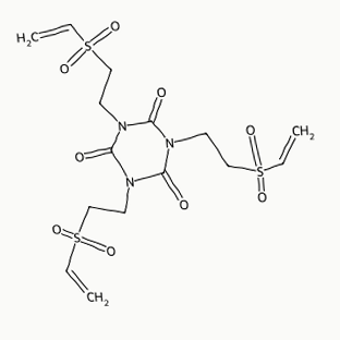 C=CS(=O)(=O)CCn1c(=O)n(CCS(=O)(=O)C=C)c(=O)n(CCS(=O)(=O)C=C)c1=O